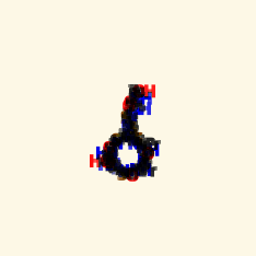 C/C=C(\NC(=O)c1csc(-c2csc(-c3ccc4c(n3)-c3csc(n3)[C@H](C(C)C)NC(=O)c3csc(n3)[C@@H](C(C)C)NC(=O)c3csc(n3)/C(=C/C)NC(=O)[C@H]([C@@H](C)O)NC(=O)c3csc-4n3)n2)n1)C(=O)NC[C@H](C)O